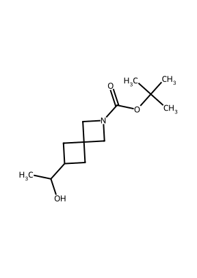 CC(O)C1CC2(C1)CN(C(=O)OC(C)(C)C)C2